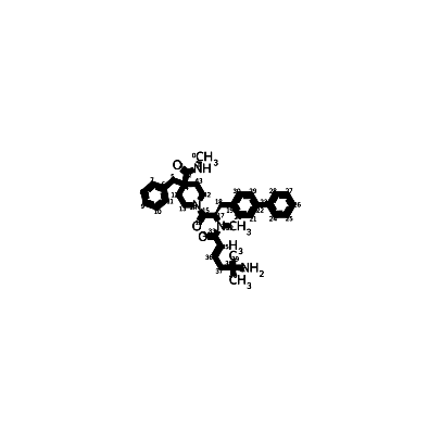 CNC(=O)C1(Cc2ccccc2)CCN(C(=O)[C@@H](Cc2ccc(-c3ccccc3)cc2)N(C)C(=O)C=CCC(C)(C)N)CC1